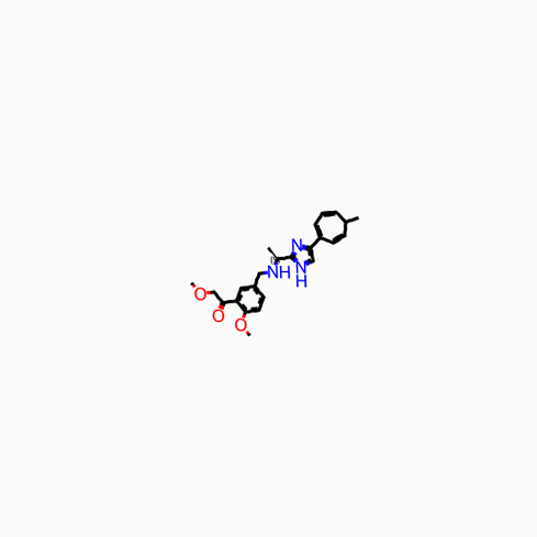 COCC(=O)c1cc(CN[C@@H](C)c2nc(C3=CC=CC(C)C=C3)c[nH]2)ccc1OC